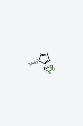 [CH]1C=CC=C1.[Cl][Ti].[Cl][Ti].[Cl][Ti]